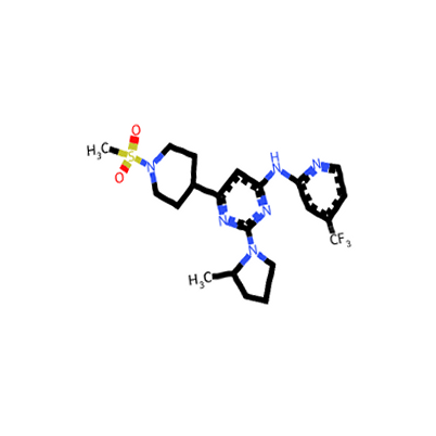 CC1CCCN1c1nc(Nc2cc(C(F)(F)F)ccn2)cc(C2CCN(S(C)(=O)=O)CC2)n1